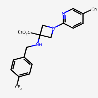 CCOC(=O)C1(NCc2ccc(C(F)(F)F)cc2)CN(c2ccc(C#N)cn2)C1